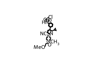 COCCC(=O)N1CCN(c2nc(C3CC3)c(-c3cccc(NS(=O)(=O)CCl)c3)cc2C#N)CC1C